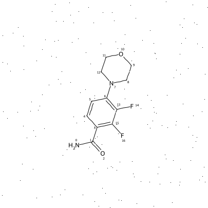 NC(=O)c1ccc(N2CCOCC2)c(F)c1F